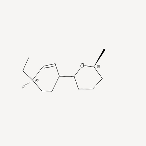 CC[C@@]1(C)C=CC(C2CCC[C@H](C)O2)CC1